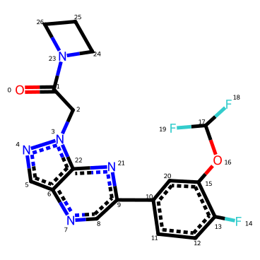 O=C(Cn1ncc2ncc(-c3ccc(F)c(OC(F)F)c3)nc21)N1CCC1